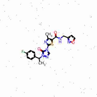 Cc1nc(-n2cnn(C(C)c3ccc(F)cc3)c2=O)sc1C(=O)NCc1ccon1